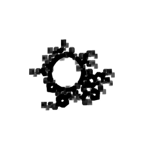 CC[C@H](C)[C@H]1NC(=O)[C@@H](NC(=O)[C@@H](CC(C)C)N(C)C(=O)[C@@H]2CCCN2C(=O)[C@H](C)O)[C@@H](C)OC(=O)[C@H](Cc2ccc(OC)cc2)N(C)C(=O)C2CCCN2C(=O)[C@H](CC(C)C)NC(=O)[C@@H](C)C(=O)[C@H](C(C)C)OC(=O)C[C@@H]1O